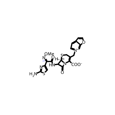 CO/N=C(\C(=O)NC1C(=O)N2C(C(=O)[O-])=C(C[n+]3ccc4ccoc4c3)CS[C@H]12)c1csc(N)n1